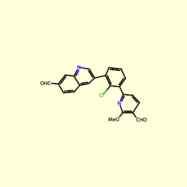 COc1nc(-c2cccc(-c3cnc4cc(C=O)ccc4c3)c2Cl)ccc1C=O